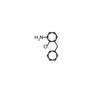 Nc1cccc(Cc2ccccc2)c1Cl